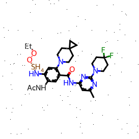 CCOO[SH4]Nc1cc(N2CCC3(CC2)CC3)c(C(=O)Nc2cc(C)nc(N3CCC(F)(F)CC3)n2)cc1NC(C)=O